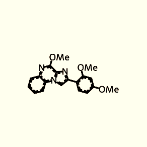 COc1ccc(-c2cn3c(n2)c(OC)nc2ccccc23)c(OC)c1